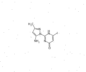 Cc1cc(N)n(-c2nc(=O)cc(I)[nH]2)n1